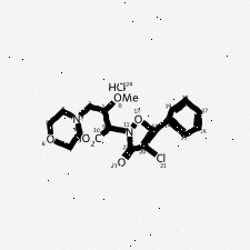 COC(CN1CCOCC1)C(C(=O)O)n1oc(-c2ccccc2)c(Cl)c1=O.Cl